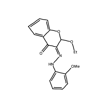 CCOC1Oc2ccccc2C(=O)C1=NNc1ccccc1OC